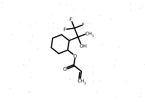 C=CC(=O)OC1CCCCC1C(C)(O)C(F)(F)F